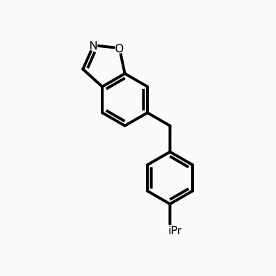 CC(C)c1ccc(Cc2ccc3cnoc3c2)cc1